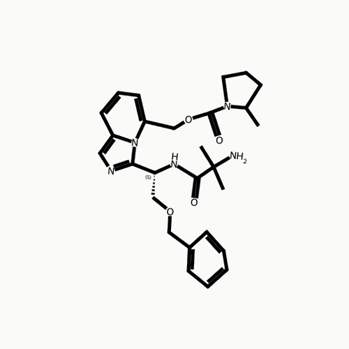 CC1CCCN1C(=O)OCc1cccc2cnc([C@@H](COCc3ccccc3)NC(=O)C(C)(C)N)n12